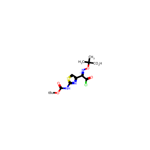 CC(C)(C)OC(=O)Nc1nc(/C(=N/OC(C)(C)C(=O)O)C(=O)Cl)cs1